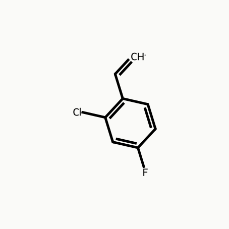 [CH]=Cc1ccc(F)cc1Cl